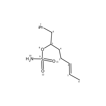 CC=CCCC(CC(C)C)OS(N)(=O)=O